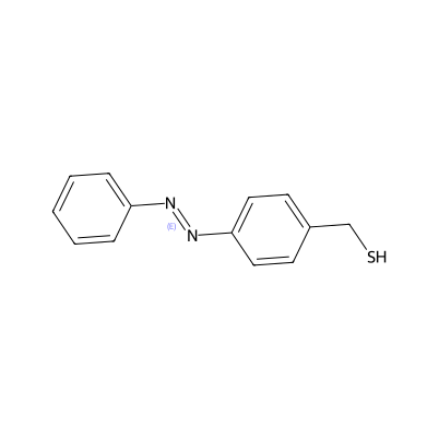 SCc1ccc(/N=N/c2ccccc2)cc1